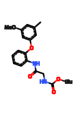 COc1cc(C)cc(Oc2ccccc2NC(=O)CNC(=O)OC(C)(C)C)c1